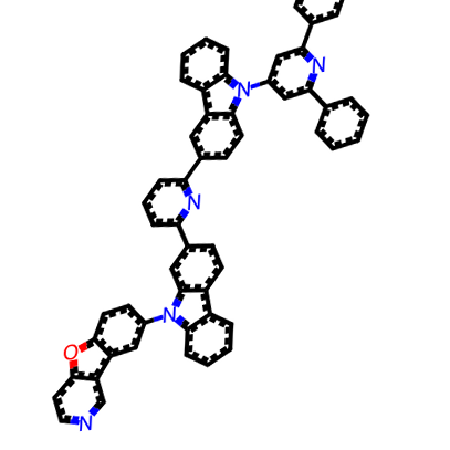 c1ccc(-c2cc(-n3c4ccccc4c4cc(-c5cccc(-c6ccc7c8ccccc8n(-c8ccc9oc%10ccncc%10c9c8)c7c6)n5)ccc43)cc(-c3ccccc3)n2)cc1